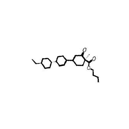 CCCCOC(=O)[C@@]1(C)CCC(C2CCC([C@H]3CC[C@H](CC)CC3)CC2)CC1=O